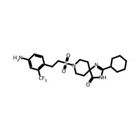 Nc1ccc(CCS(=O)(=O)N2CCC3(CC2)N=C(C2CCCCC2)NC3=O)c(C(F)(F)F)c1